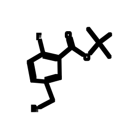 CC(C)(C)OC(=O)c1cc(CBr)ccc1F